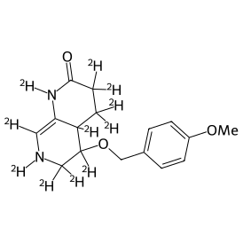 [2H]C1=C2N([2H])C(=O)C([2H])([2H])C([2H])([2H])C2([2H])C([2H])(OCc2ccc(OC)cc2)C([2H])([2H])N1[2H]